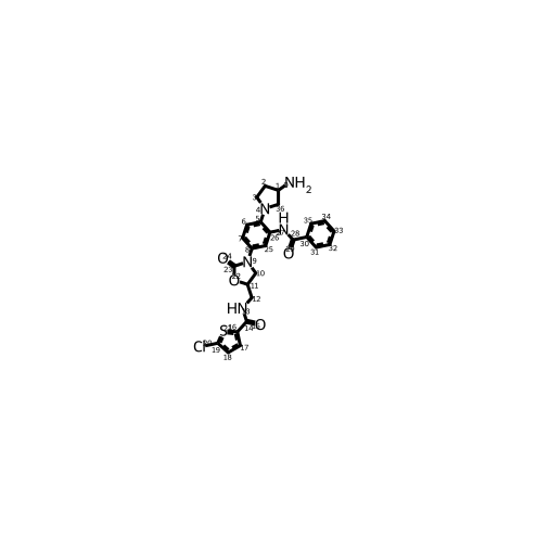 NC1CCN(c2ccc(N3CC(CNC(=O)c4ccc(Cl)s4)OC3=O)cc2NC(=O)c2ccccc2)C1